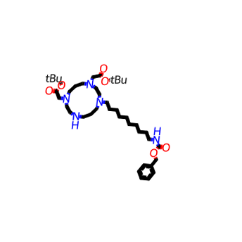 CC(C)(C)OC(=O)CN1CCCN(CC(=O)OC(C)(C)C)CCN(CCCCCCCCCCNC(=O)OCc2ccccc2)CCCNCC1